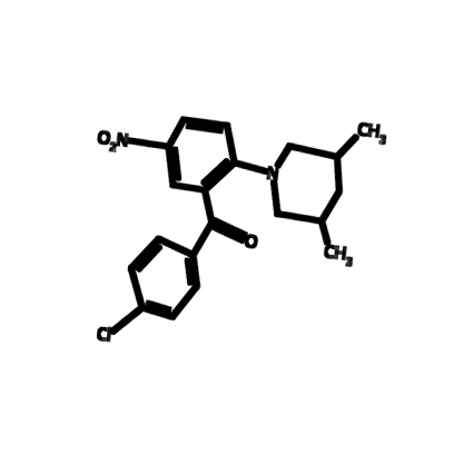 CC1CC(C)CN(c2ccc([N+](=O)[O-])cc2C(=O)c2ccc(Cl)cc2)C1